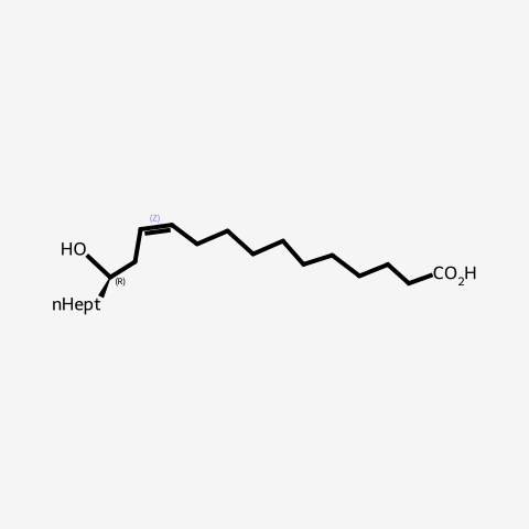 CCCCCCC[C@@H](O)C/C=C\CCCCCCCCCC(=O)O